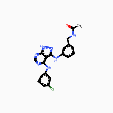 CC(=O)NCc1cccc(Nc2n[nH]c3ncnc(Nc4cccc(Cl)c4)c23)c1